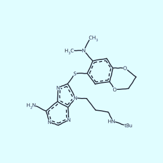 CN(C)c1cc2c(cc1Sc1nc3c(N)ncnc3n1CCCNC(C)(C)C)OCCO2